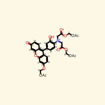 CC(=O)OCOC(=O)CN(CC(=O)OCOC(C)=O)c1ccc(-c2c3ccc(=O)cc-3oc3cc(OCOC(C)=O)ccc23)cc1O